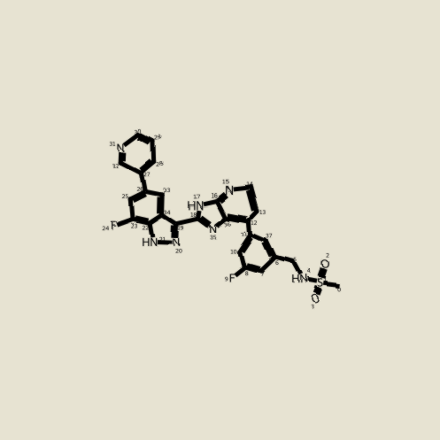 CS(=O)(=O)NCc1cc(F)cc(-c2ccnc3[nH]c(-c4n[nH]c5c(F)cc(-c6cccnc6)cc45)nc23)c1